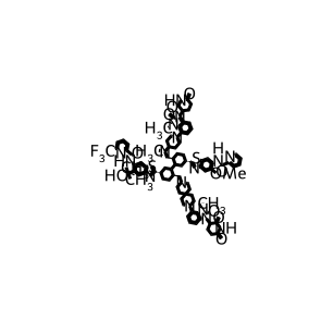 COc1cc2nc([C@H]3CC[C@H](CN(C)C4CCN(c5cccc6c5n(C)c(=O)n6C5CCC(=O)NC5=O)CC4)C(C4C[C@@H](c5nc6cc(C(C)(C)O)c(NC(=O)c7cccc(C(F)(F)F)n7)cc6s5)CC[C@@H]4CN4CCC5(CC4)CCN(c4cccc6c4n(C)c(=O)n6C4CCC(=O)NC4=O)CC5)C3)sc2cc1NC(=O)c1ccccn1